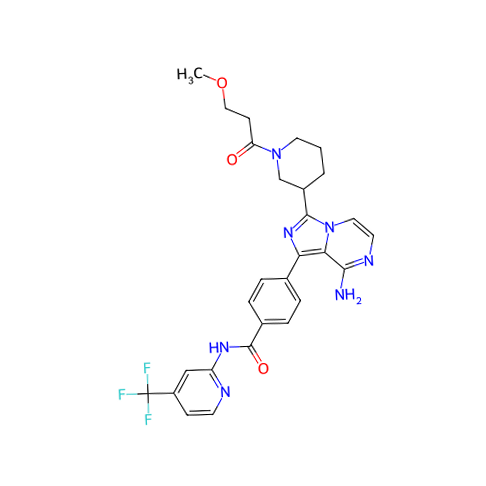 COCCC(=O)N1CCCC(c2nc(-c3ccc(C(=O)Nc4cc(C(F)(F)F)ccn4)cc3)c3c(N)nccn23)C1